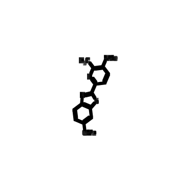 CNc1ccc(-c2nc3ccc(OC)cc3s2)nc1C